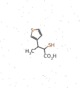 CC(c1ccsc1)C(S)C(=O)O